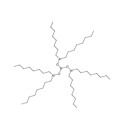 CCCCCCC[CH2][Al]([CH2]CCCCCCC)[O]B([O][Al]([CH2]CCCCCCC)[CH2]CCCCCCC)[O][Al]([CH2]CCCCCCC)[CH2]CCCCCCC